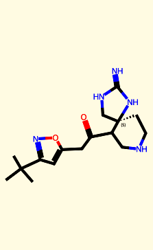 CC(C)(C)c1cc(CC(=O)C2CNCC[C@@]23CNC(=N)N3)on1